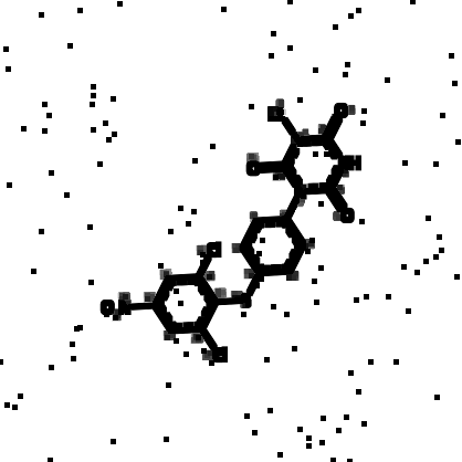 CCn1c(=O)[nH]c(=O)n(-c2ccc(Sc3c(Cl)cc([N+](=O)[O-])cc3Cl)cc2)c1=O